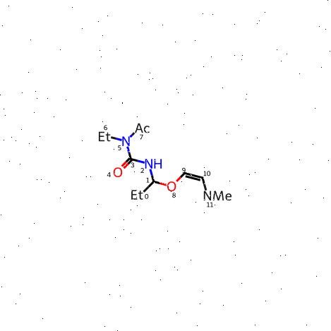 CCC(NC(=O)N(CC)C(C)=O)O/C=C\NC